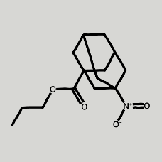 CCCOC(=O)C12CC3CC(C1)CC([N+](=O)[O-])(C3)C2